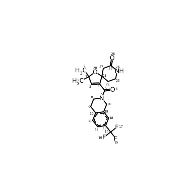 CC1(C)C=C(C(=O)N2CCc3ccc(C(F)(F)F)cc3C2)C2(CCNC(=O)C2)O1